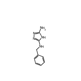 Nc1nnc(NCc2ccccc2)[nH]1